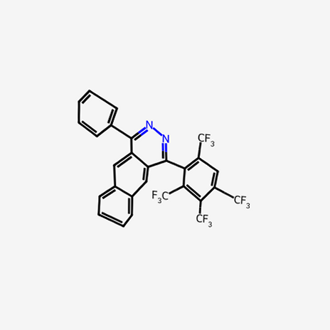 FC(F)(F)c1cc(C(F)(F)F)c(C(F)(F)F)c(C(F)(F)F)c1-c1nnc(-c2ccccc2)c2cc3ccccc3cc12